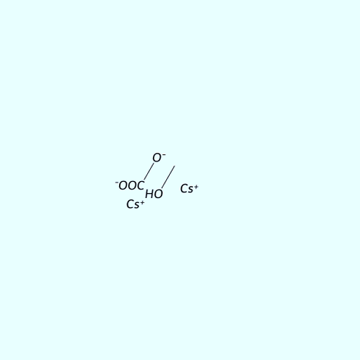 CO.O=C([O-])[O-].[Cs+].[Cs+]